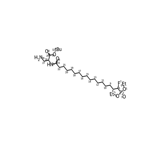 CCOP(=O)(OCC)C(F)CCCCCCCCCCCCCCCC(=O)NC(CN)C(=O)OC(C)(C)C